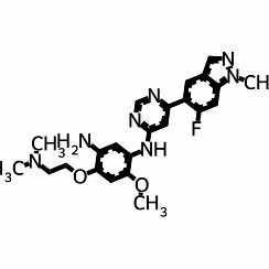 COc1cc(OCCN(C)C)c(N)cc1Nc1cc(-c2cc3cnn(C)c3cc2F)ncn1